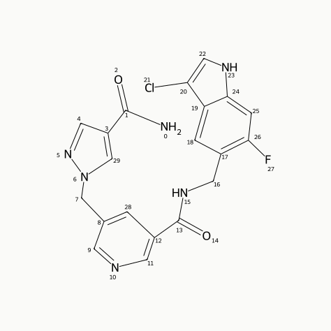 NC(=O)c1cnn(Cc2cncc(C(=O)NCc3cc4c(Cl)c[nH]c4cc3F)c2)c1